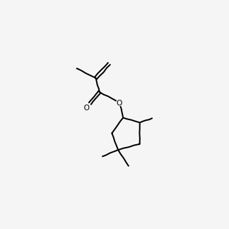 C=C(C)C(=O)OC1CC(C)(C)CC1C